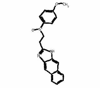 COc1ccc([S+]([O-])CCc2nc3cc4ccccc4cc3[nH]2)cc1